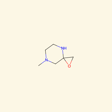 CN1CCNC2(CO2)C1